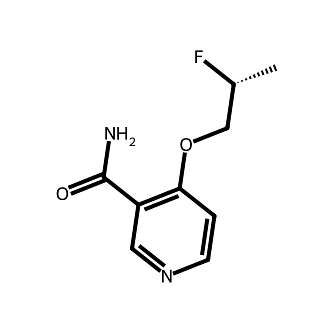 C[C@@H](F)COc1ccncc1C(N)=O